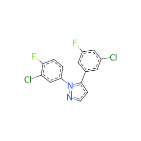 Fc1cc(Cl)cc(-c2ccnn2-c2ccc(F)c(Cl)c2)c1